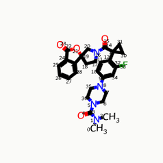 CN(C)C(=O)N1CCN(c2ccc(C3(C(=O)N4CCC5(C4)OC(=O)c4ccccc45)CC3)c(F)c2)CC1